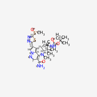 CN(c1c(C(N)=O)cnn2cc(-c3nnc([S+](C)[O-])s3)cc12)[C@@H]1CC[C@](C)(NC(=O)OC(C)(C)C)C1(C)C